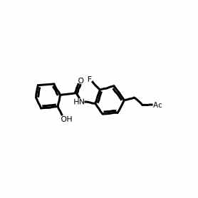 CC(=O)CCc1ccc(NC(=O)c2ccccc2O)c(F)c1